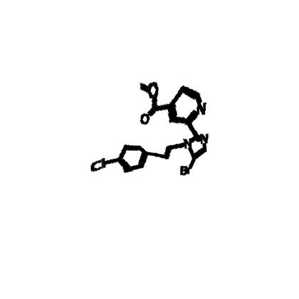 COC(=O)c1ccnc(-c2ncc(Br)n2CCc2ccc(Cl)cc2)c1